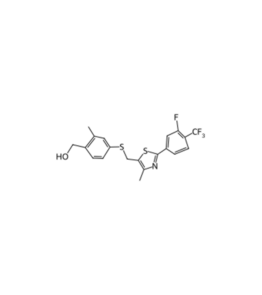 Cc1cc(SCc2sc(-c3ccc(C(F)(F)F)c(F)c3)nc2C)ccc1CO